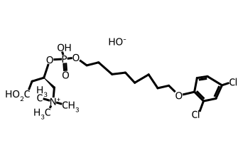 C[N+](C)(C)C[C@@H](CC(=O)O)OP(=O)(O)OCCCCCCCCOc1ccc(Cl)cc1Cl.[OH-]